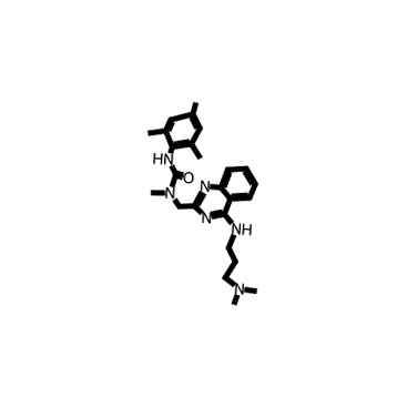 Cc1cc(C)c(NC(=O)N(C)Cc2nc(NCCCN(C)C)c3ccccc3n2)c(C)c1